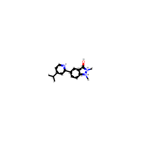 CC(C)c1ccnc(-c2ccc3c(c2)c(=O)n(C)n3C)c1